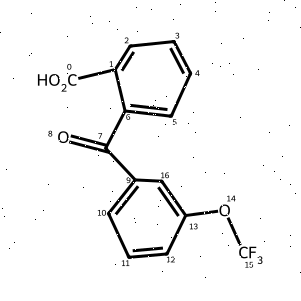 O=C(O)c1ccccc1C(=O)c1cccc(OC(F)(F)F)c1